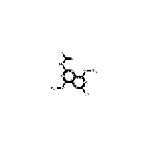 CNc1nc(NC(C)=O)nc2c(NC)nc(C)nc12